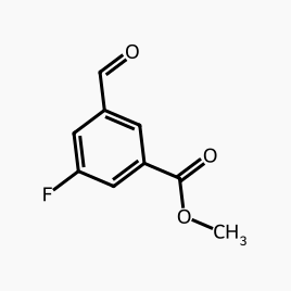 COC(=O)c1cc(F)cc(C=O)c1